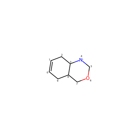 C1=CCC2[N]COCC2C1